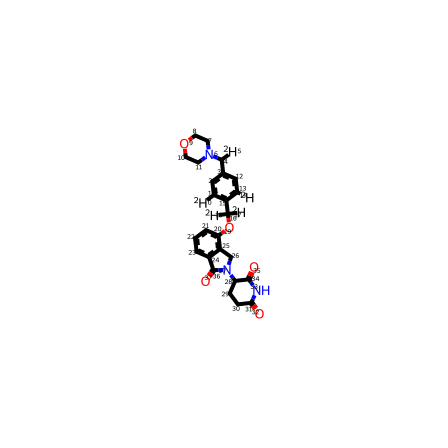 [2H]c1cc(C([2H])N2CCOCC2)cc([2H])c1C([2H])([2H])Oc1cccc2c1CN(C1CCC(=O)NC1=O)C2=O